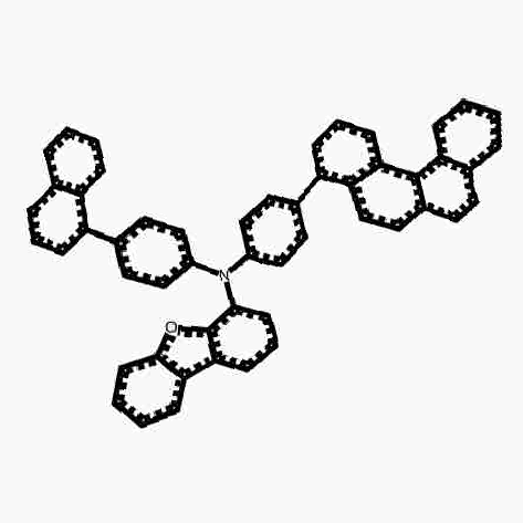 c1ccc2c(-c3ccc(N(c4ccc(-c5cccc6c5ccc5ccc7ccccc7c56)cc4)c4cccc5c4oc4ccccc45)cc3)cccc2c1